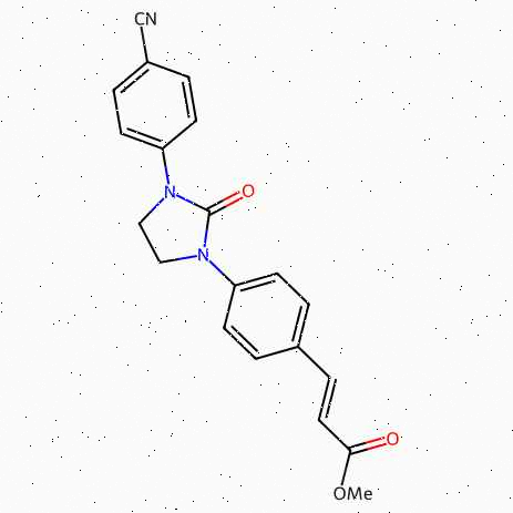 COC(=O)/C=C/c1ccc(N2CCN(c3ccc(C#N)cc3)C2=O)cc1